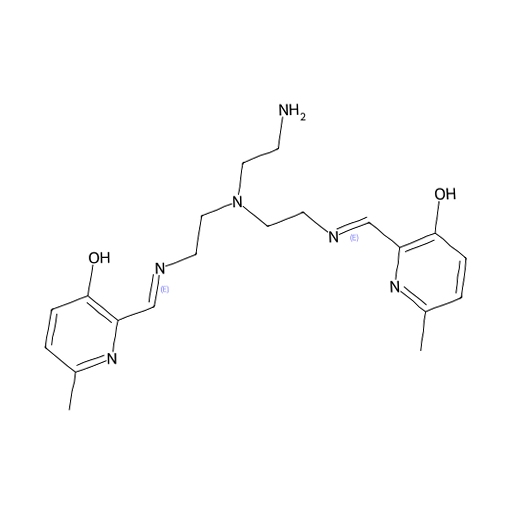 Cc1ccc(O)c(/C=N/CCN(CCN)CC/N=C/c2nc(C)ccc2O)n1